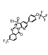 CCS(=O)(=O)c1cc(-c2ccc(OC(F)(F)C(F)F)cc2)cnc1-n1cnc2cc(C(F)(F)F)ccc2c1=O